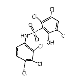 O=S(=O)(Nc1ccc(Cl)c(Cl)c1Cl)c1c(O)c(Cl)cc(Cl)c1Cl